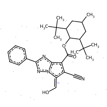 CC1CC(C(C)(C)C)C(OC(=O)c2c(C#N)/c(=C/O)n3nc(-c4ccccc4)nc23)C(C(C)(C)C)C1